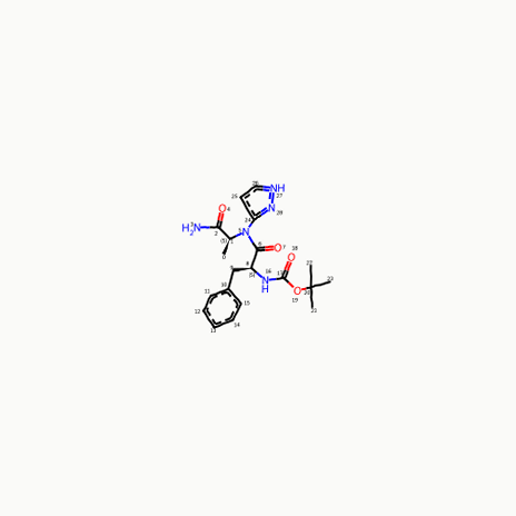 C[C@@H](C(N)=O)N(C(=O)[C@H](Cc1ccccc1)NC(=O)OC(C)(C)C)c1cc[nH]n1